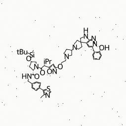 Cc1ncsc1-c1ccc([C@H](C)NC(=O)[C@@H]2C[C@@H](O[Si](C)(C)C(C)(C)C)CN2C(=O)[C@@H](c2cc(OCCN3CCC(N4CCC5(CC4)CNc4nnc(-c6ccccc6O)cc45)C3)no2)C(C)C)cc1